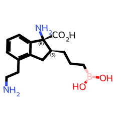 NCCc1cccc2c1C[C@H](CCCB(O)O)[C@]2(N)C(=O)O